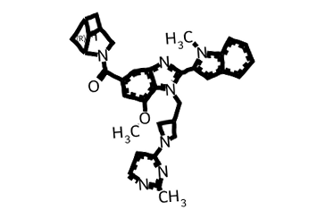 COc1cc(C(=O)N2CC3CC4CC2[C@H]43)cc2nc(-c3cc4ccccc4n3C)n(CC3CN(c4ccnc(C)n4)C3)c12